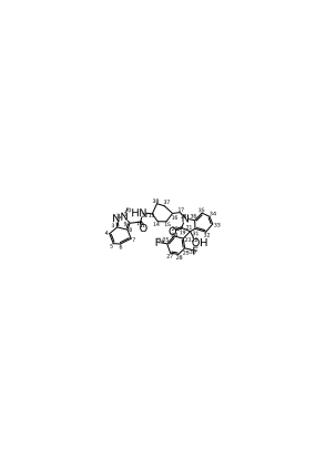 Cn1nc2ccccc2c1C(=O)NC1CCC(CN2C(=O)C(O)(c3cc(F)ccc3F)c3ccccc32)CC1